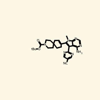 Cn1c(C2=CCC3(CC2)CCN(C(=O)OC(C)(C)C)CC3)c(-c2ncc(C#N)cn2)c2c(N)ncnc21